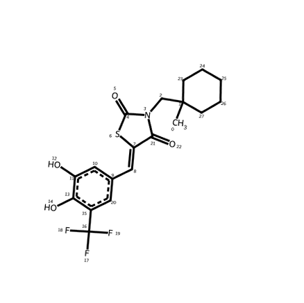 CC1(CN2C(=O)S/C(=C\c3cc(O)c(O)c(C(F)(F)F)c3)C2=O)CCCCC1